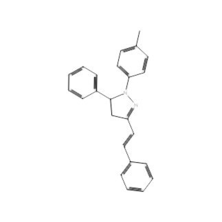 Cc1ccc(N2N=C(C=Cc3ccccc3)CC2c2ccccc2)cc1